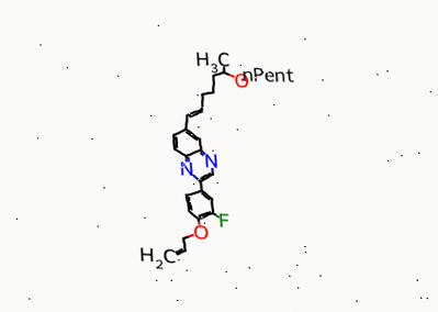 C=CCOc1ccc(-c2cnc3cc(C=CCCCC(C)OCCCCC)ccc3n2)cc1F